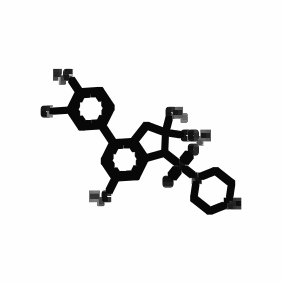 Cc1cc(-c2ccc(C(F)(F)F)c(Cl)c2)c2c(c1)C(S(=O)(=O)N1CCNCC1)C(C)(C(=O)O)C2